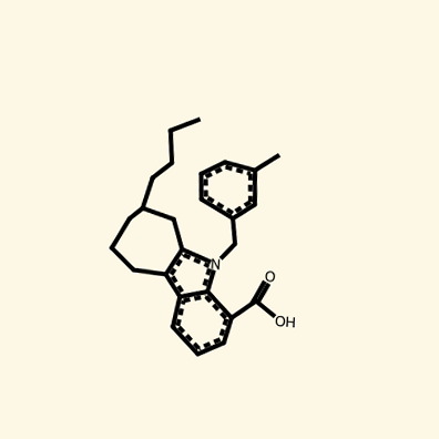 CCCCC1CCCc2c(n(Cc3cccc(C)c3)c3c(C(=O)O)cccc23)C1